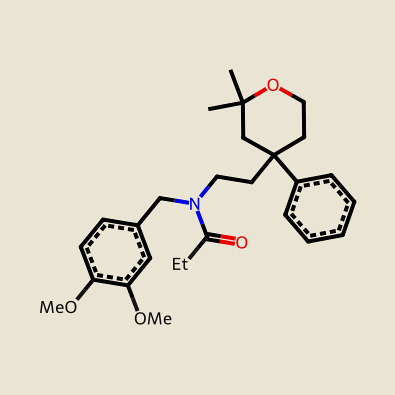 CCC(=O)N(CCC1(c2ccccc2)CCOC(C)(C)C1)Cc1ccc(OC)c(OC)c1